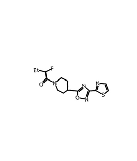 CCC(F)C(=O)N1CCC(c2nc(-c3nccs3)no2)CC1